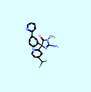 CN1C(=O)C(c2cc(C(F)F)ccn2)(c2cc(-c3ccccn3)ccc2F)N=C1N